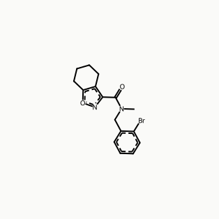 CN(Cc1ccccc1Br)C(=O)c1noc2c1CCCC2